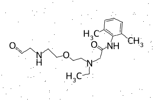 CCN(CCOCCNCC=O)CC(=O)Nc1c(C)cccc1C